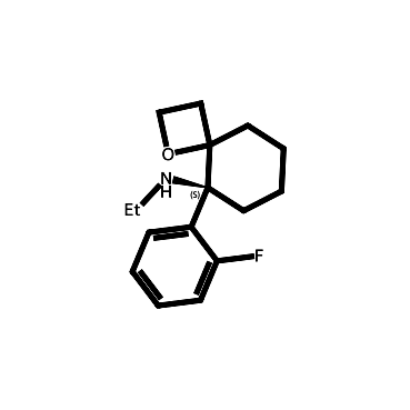 CCN[C@]1(c2ccccc2F)CCCCC12CCO2